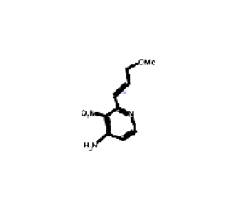 COC/C=C/c1nccc(N)c1[N+](=O)[O-]